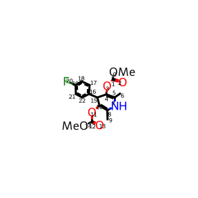 COC(=O)OC1=C(C)NC(C)=C(OC(=O)OC)C1c1ccc(F)cc1